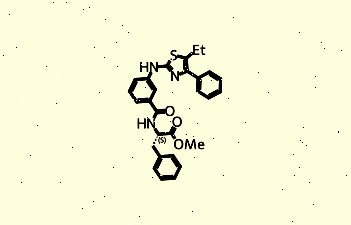 CCc1sc(Nc2cccc(C(=O)N[C@@H](Cc3ccccc3)C(=O)OC)c2)nc1-c1ccccc1